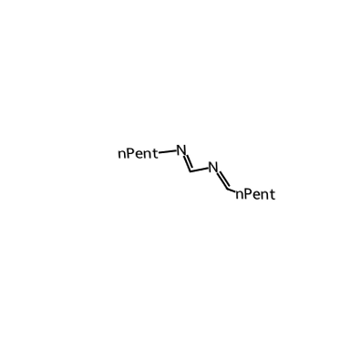 CCCCCC=NC=NCCCCC